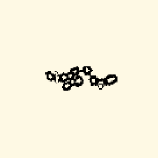 C1=CC2Oc3ccc(-c4cccc(-c5ccc6c(c5)C5(c7ccccc7-c7ccccc75)c5cc7c(cc5-6)Oc5ccccc5O7)c4)cc3C2C=C1